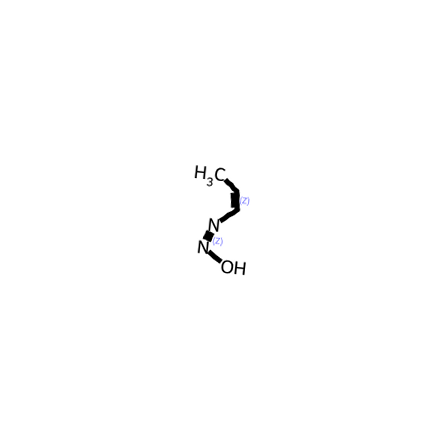 C/C=C\N=N/O